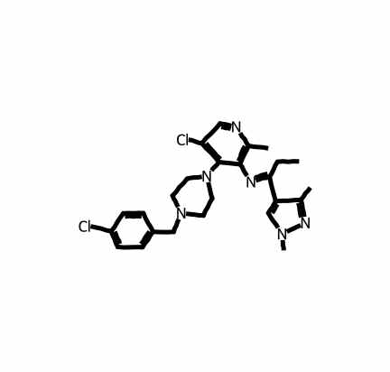 CC/C(=N\c1c(C)ncc(Cl)c1N1CCN(Cc2ccc(Cl)cc2)CC1)c1cn(C)nc1C